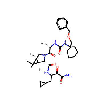 CC(C)(C)[C@H](NC(=O)NC1(COCc2ccccc2)CCCCC1)C(=O)N1C[C@H]2[C@@H]([C@H]1C(=O)NC(CC1CC1)C(=O)C(N)=O)C2(C)C